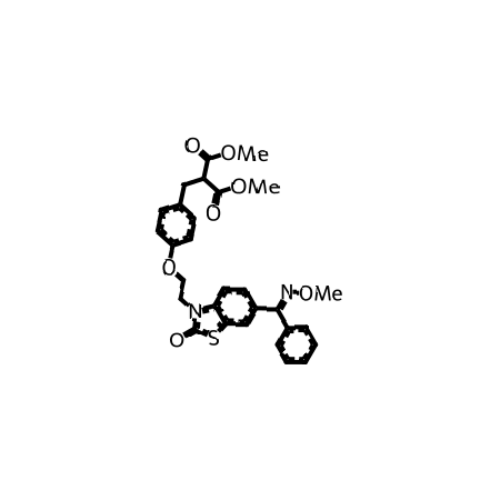 CO/N=C(\c1ccccc1)c1ccc2c(c1)sc(=O)n2CCOc1ccc(CC(C(=O)OC)C(=O)OC)cc1